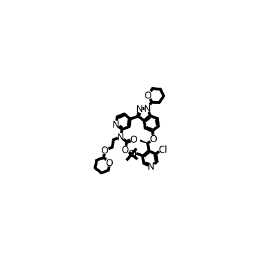 C[C@@H](Oc1ccc2c(c1)c(-c1ccnc(N(CCOC3CCCCO3)C(=O)OC(C)(C)C)c1)nn2C1CCCCO1)c1c(Cl)cncc1Cl